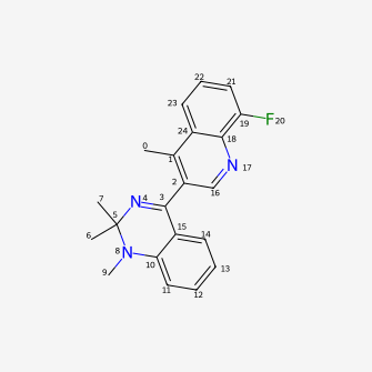 Cc1c(C2=NC(C)(C)N(C)c3ccccc32)cnc2c(F)cccc12